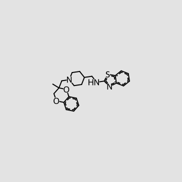 CC1(CN2CCC(CNc3nc4ccccc4s3)CC2)COc2ccccc2O1